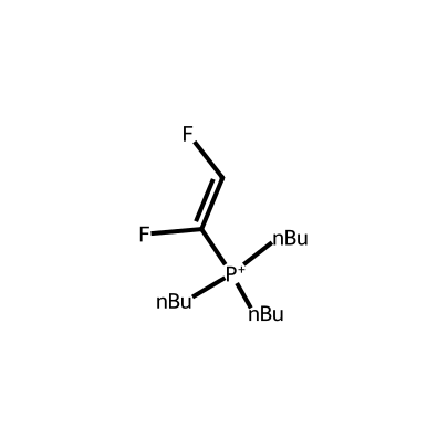 CCCC[P+](CCCC)(CCCC)C(F)=CF